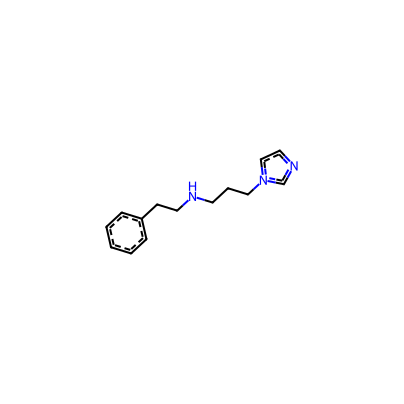 c1ccc(CCNCCCn2ccnc2)cc1